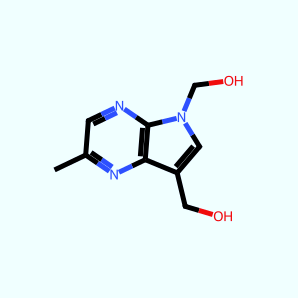 Cc1cnc2c(n1)c(CO)cn2CO